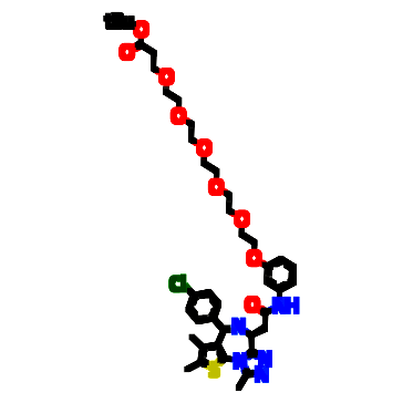 Cc1sc2c(c1C)C(c1ccc(Cl)cc1)=N[C@@H](CC(=O)Nc1cccc(OCCOCCOCCOCCOCCOCCC(=O)OC(C)(C)C)c1)c1nnc(C)n1-2